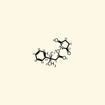 CC(C)(CC(=O)ON1C(=O)CCC1=O)c1ccccc1